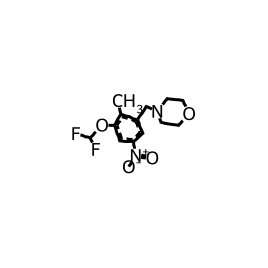 Cc1c(CN2CCOCC2)cc([N+](=O)[O-])cc1OC(F)F